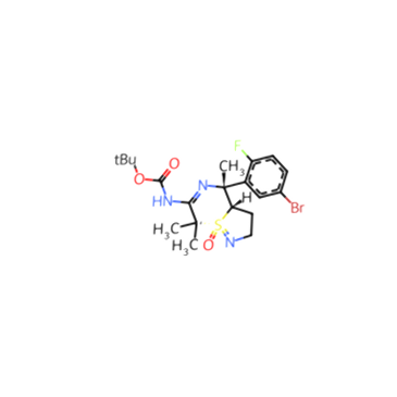 CC(C)(C)OC(=O)NC1=N[C@](C)(c2cc(Br)ccc2F)[C@@H]2CCN=[S@]2(=O)C1(C)C